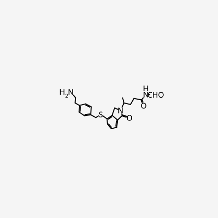 CC(CCC(=O)NC=O)N1Cc2c(SCc3ccc(CCN)cc3)cccc2C1=O